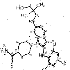 CC(C)(CO)CNc1ncc2nc(Nc3c(Cl)cc(C#N)cc3Cl)n([C@H]3CC[C@H](C(N)=O)CC3)c2n1